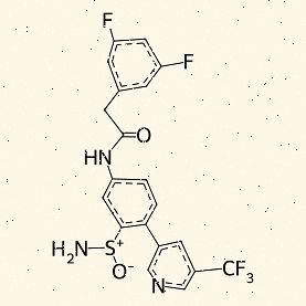 N[S+]([O-])c1cc(NC(=O)Cc2cc(F)cc(F)c2)ccc1-c1cncc(C(F)(F)F)c1